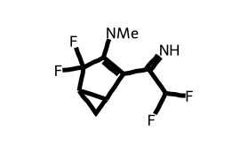 CNC1=C(C(=N)C(F)F)C2CC2C1(F)F